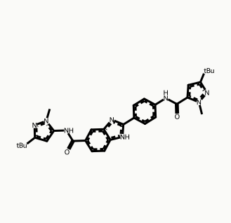 Cn1nc(C(C)(C)C)cc1NC(=O)c1ccc2[nH]c(-c3ccc(NC(=O)c4cc(C(C)(C)C)nn4C)cc3)nc2c1